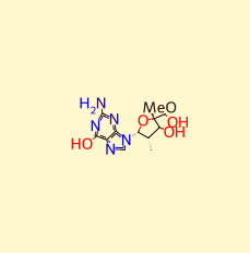 CO[C@]1(CO)O[C@@H](n2cnc3c(O)nc(N)nc32)[C@@H](C)[C@@H]1O